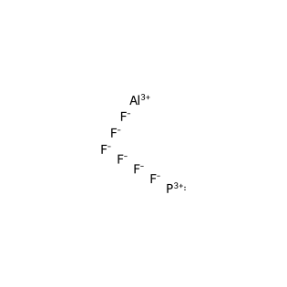 [Al+3].[F-].[F-].[F-].[F-].[F-].[F-].[P+3]